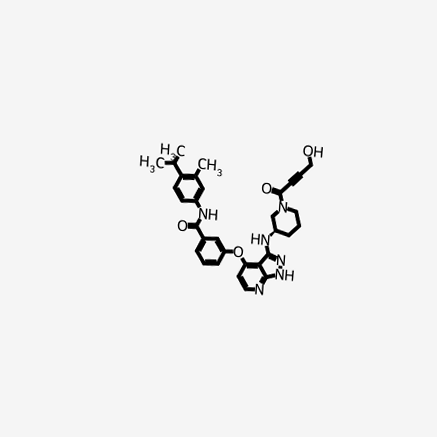 Cc1cc(NC(=O)c2cccc(Oc3ccnc4[nH]nc(N[C@@H]5CCCN(C(=O)C#CCO)C5)c34)c2)ccc1C(C)C